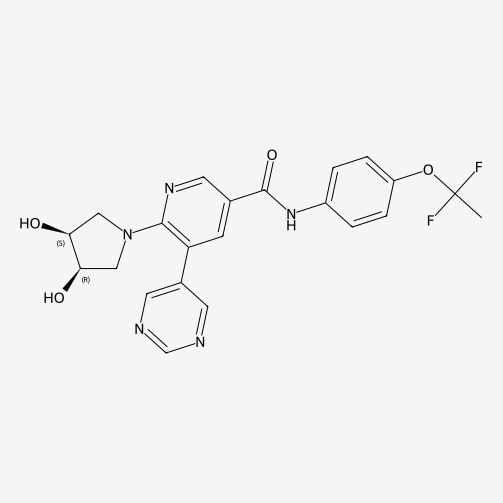 CC(F)(F)Oc1ccc(NC(=O)c2cnc(N3C[C@@H](O)[C@@H](O)C3)c(-c3cncnc3)c2)cc1